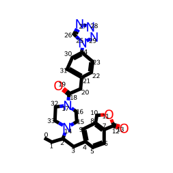 CCC(Cc1ccc2c(c1)COC2=O)N1CCN(C(=O)Cc2ccc(-n3cnnn3)cc2)CC1